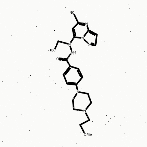 COCCN1CCN(c2ccc(C(=O)NN(CC(C)(C)C)c3cc(C#N)nc4ccnn34)cc2)CC1